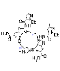 CCn1nc(C)cc1C(=O)Nc1nc2cc(C(N)=O)cc3c2n1C/C=C/Cn1c(NC(=O)c2cc(C)nn2CC)nc2cc(C(N)=O)cc(c21)O[C@H]1CN/C(=C/O3)C1